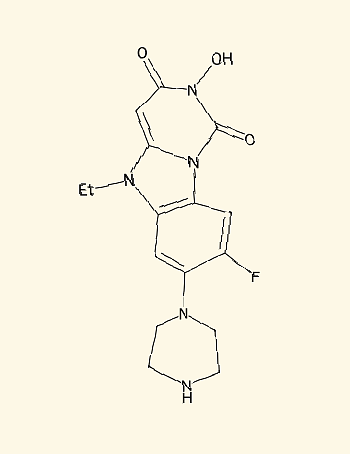 CCn1c2cc(N3CCNCC3)c(F)cc2n2c(=O)n(O)c(=O)cc12